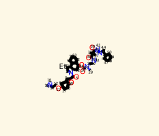 CC[C@@H]1CN(C(=O)c2cc3cc(OCCN(C)C)ccc3o2)C2C=C(OC(=O)N(C)CCN(C)C(=O)C(C)(C)C(=O)N(C)/N=C(\C)c3ccccc3)c3ccccc3C21